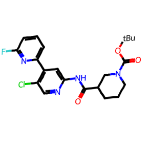 CC(C)(C)OC(=O)N1CCCC(C(=O)Nc2cc(-c3cccc(F)n3)c(Cl)cn2)C1